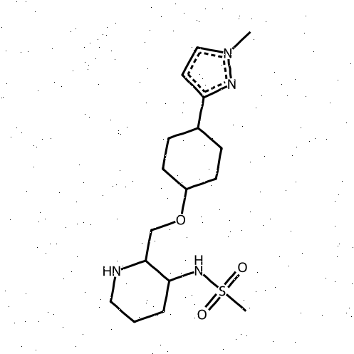 Cn1ccc(C2CCC(OCC3NCCCC3NS(C)(=O)=O)CC2)n1